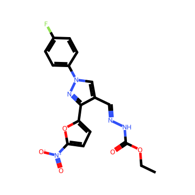 CCOC(=O)N/N=C/c1cn(-c2ccc(F)cc2)nc1-c1ccc([N+](=O)[O-])o1